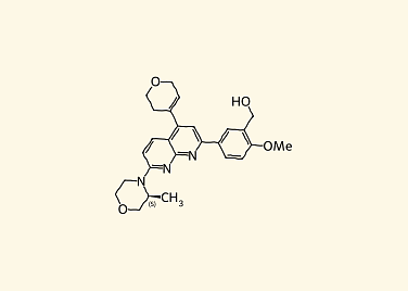 COc1ccc(-c2cc(C3=CCOCC3)c3ccc(N4CCOC[C@@H]4C)nc3n2)cc1CO